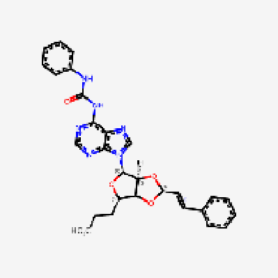 O=C(O)CC[C@H]1O[C@@H](n2cnc3c(NC(=O)Nc4ccccc4)ncnc32)[C@H]2O[C@@H](/C=C/c3ccccc3)OC12